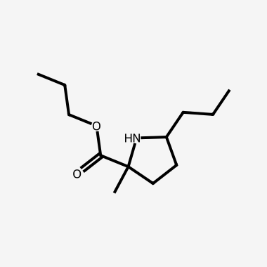 CCCOC(=O)C1(C)CCC(CCC)N1